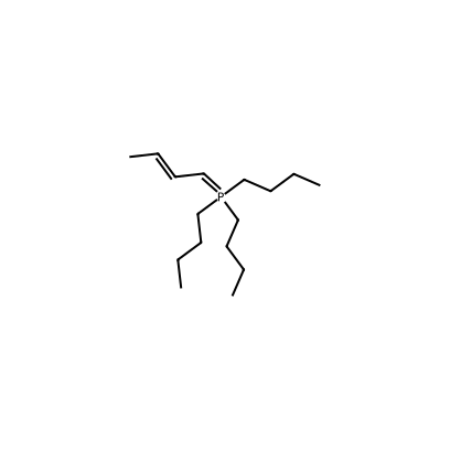 CC=CC=P(CCCC)(CCCC)CCCC